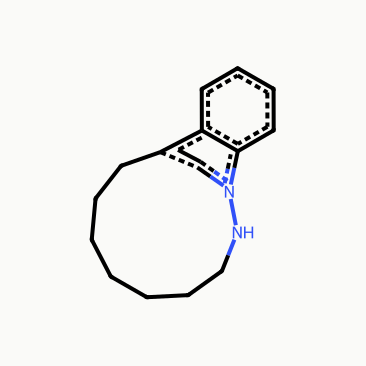 c1ccc2c(c1)c1cn2NCCCCCCC1